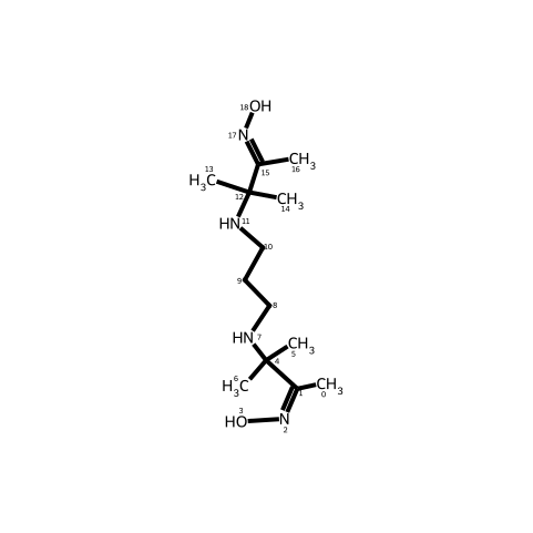 CC(=NO)C(C)(C)NCCCNC(C)(C)C(C)=NO